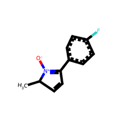 CC1C=CC(c2ccc(F)cc2)=[N+]1[O-]